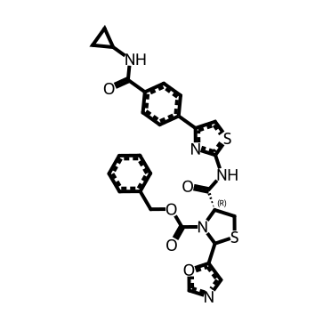 O=C(NC1CC1)c1ccc(-c2csc(NC(=O)[C@@H]3CSC(c4cnco4)N3C(=O)OCc3ccccc3)n2)cc1